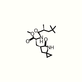 COC(=O)[C@H](C[C@@H]1CC2(CC2)NC1=O)NC(=O)[C@@H](C)CC(C)(C)C